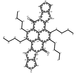 CCCCc1c(CCCC)c2c3c(c(CCCC)c(CCCC)c4c3c1c(=O)n1c3cscc3nc41)c(=O)n1c3cscc3nc21